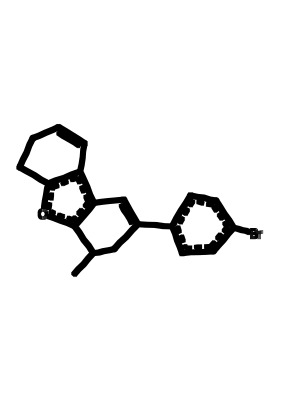 CC1CC(c2ccc(Br)cc2)=Cc2c1oc1c2C=CCC1